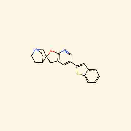 c1ccc2sc(-c3cnc4c(c3)C[C@@]3(CN5CCC3CC5)O4)cc2c1